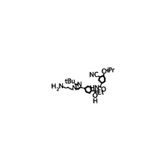 CC[C@@](O)(NC(=O)c1ccc(OC(C)C)c(C#N)c1)c1ccc(-c2cn(CCCN)c(C(C)(C)C)n2)cc1